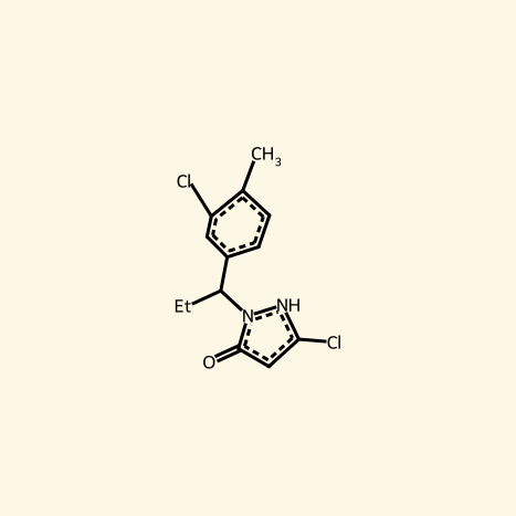 CCC(c1ccc(C)c(Cl)c1)n1[nH]c(Cl)cc1=O